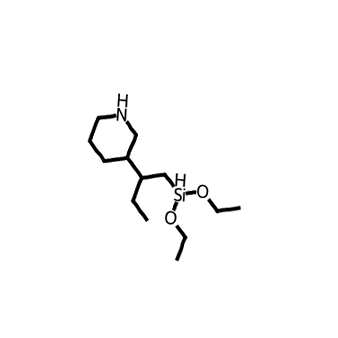 CCO[SiH](CC(CC)C1CCCNC1)OCC